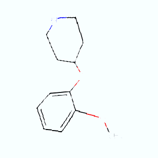 COc1ccccc1OC1CCNCC1